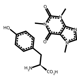 Cn1c(=O)c2c(ncn2C)n(C)c1=O.N[C@@H](Cc1ccc(O)cc1)C(=O)O